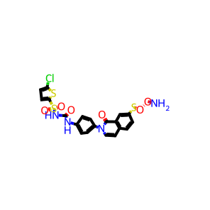 NOOSc1ccc2ccn(-c3ccc(NC(=O)NS(=O)(=O)c4ccc(Cl)s4)cc3)c(=O)c2c1